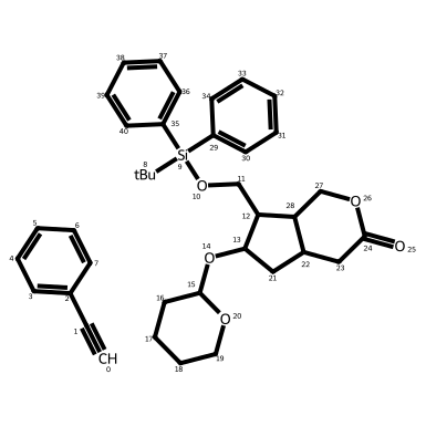 C#Cc1ccccc1.CC(C)(C)[Si](OCC1C(OC2CCCCO2)CC2CC(=O)OCC21)(c1ccccc1)c1ccccc1